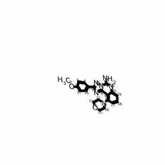 COc1ccc(-c2nc3c4c(N5CCOCC5)cccc4nc(N)n3n2)cc1